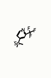 [CH3][Sn]([CH3])([CH3])[c]1ccnc(C(F)(F)F)c1